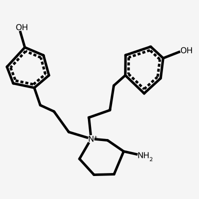 NC1CCC[N+](CCCc2ccc(O)cc2)(CCCc2ccc(O)cc2)C1